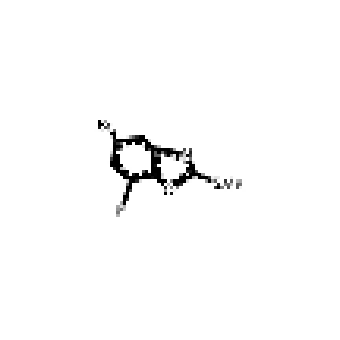 CSc1nc2cc(Br)cc(F)c2o1